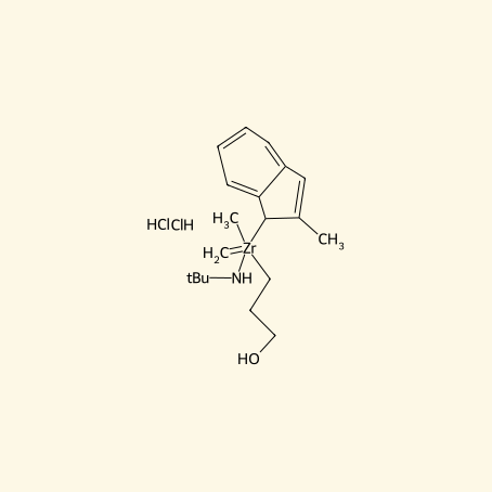 Cl.Cl.[CH2]=[Zr]([CH3])([CH2]CCO)([NH]C(C)(C)C)[CH]1C(C)=Cc2ccccc21